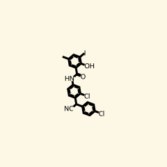 Cc1cc(I)c(O)c(C(=O)Nc2ccc(C(C#N)c3ccc(Cl)cc3)c(Cl)c2)c1